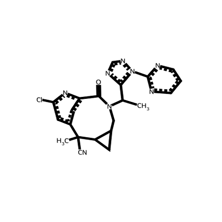 CC(c1ncnn1-c1ncccn1)N1CC2CC2C(C)(C#N)c2cc(Cl)nc(c2)C1=O